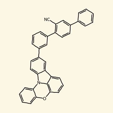 N#Cc1cc(-c2ccccc2)ccc1-c1cccc(-c2ccc3c(c2)c2cccc4c2n3-c2ccccc2O4)c1